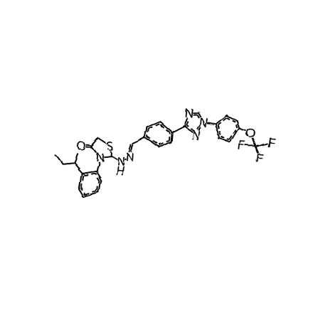 CCC(C)c1ccccc1N1C(=O)CSC1N/N=C/c1ccc(-c2ncn(-c3ccc(OC(F)(F)F)cc3)n2)cc1